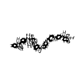 O=C1CCC(Nc2ccc(N3CCC(CN4CCC5(CC4)CCN(C(=O)c4ccc(Nc6ncc(F)c(Nc7ccc(C(=O)Nc8ccccc8Cl)cc7)n6)cc4)C5)CC3)cc2)C(=O)N1